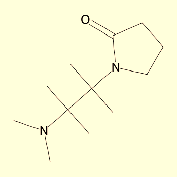 CN(C)C(C)(C)C(C)(C)N1CCCC1=O